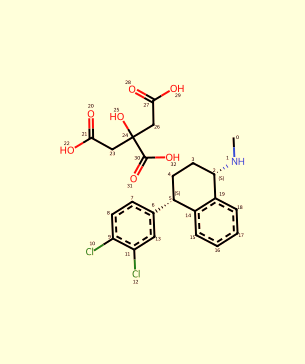 CN[C@H]1CC[C@@H](c2ccc(Cl)c(Cl)c2)c2ccccc21.O=C(O)CC(O)(CC(=O)O)C(=O)O